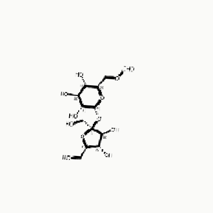 O=COC[C@H]1O[C@H](O[C@]2(CO)O[C@H](CO)[C@@H](O)[C@@H]2O)[C@H](O)[C@@H](O)[C@@H]1O